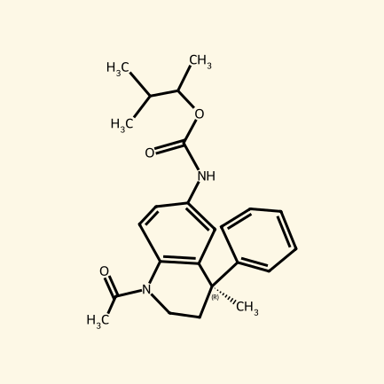 CC(=O)N1CC[C@](C)(c2ccccc2)c2cc(NC(=O)OC(C)C(C)C)ccc21